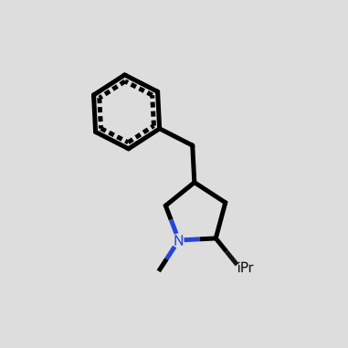 CC(C)C1CC(Cc2ccccc2)CN1C